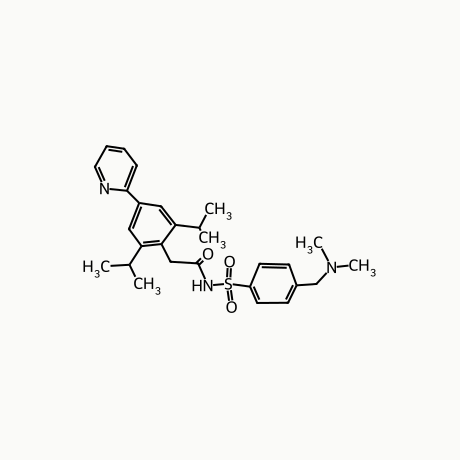 CC(C)c1cc(-c2ccccn2)cc(C(C)C)c1CC(=O)NS(=O)(=O)c1ccc(CN(C)C)cc1